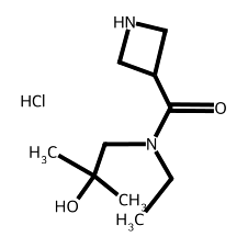 CCN(CC(C)(C)O)C(=O)C1CNC1.Cl